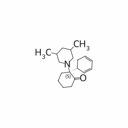 CC1CC(C)CN([C@]2(C3C=CC=CC3)CCCCC2=O)C1